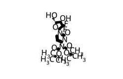 CC(C)(C)OC(=O)N(C(=O)OC(C)(C)C)c1ccn(C2O[C@H](CO)[C@@H](O)C2(F)F)c(=O)n1